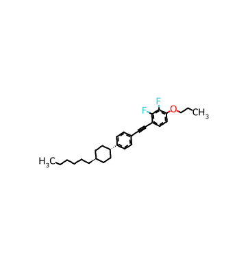 CCCCCC[C@H]1CC[C@H](c2ccc(C#Cc3ccc(OCCC)c(F)c3F)cc2)CC1